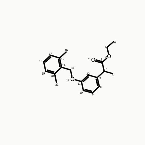 CCOC(=O)C(C)c1cccc(OCc2c(C)cccc2C)c1